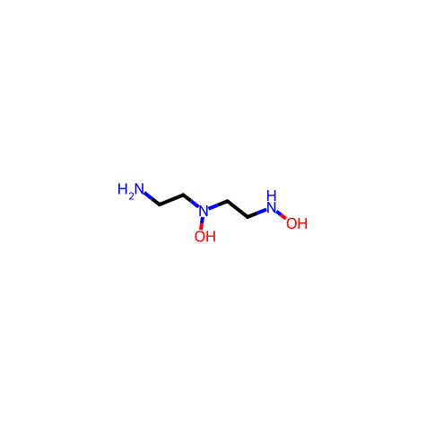 NCCN(O)CCNO